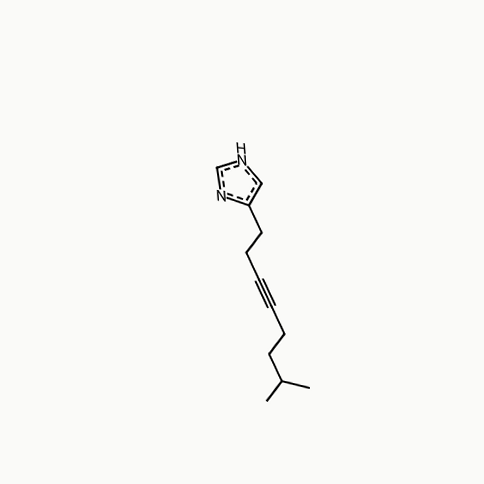 CC(C)CCC#CCCc1c[nH]cn1